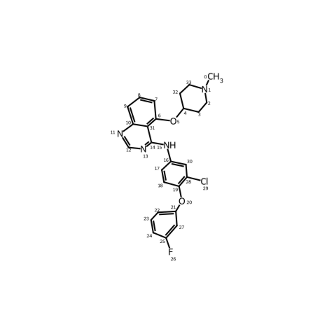 CN1CCC(Oc2cccc3ncnc(Nc4ccc(Oc5cccc(F)c5)c(Cl)c4)c23)CC1